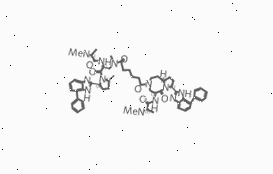 CN[C@@H](C)C(=O)N[C@H]1CN(C(=O)CCCCC(=O)N(C)C[C@H](NC(=O)[C@H](C)NC)C(=O)N2[C@@H](C)CC[C@H]2c2nc3cccc(-c4ccccc4)c3[nH]2)CC[C@H]2CC[C@@H](c3nc4cccc(-c5ccccc5)c4[nH]3)N2C1=O